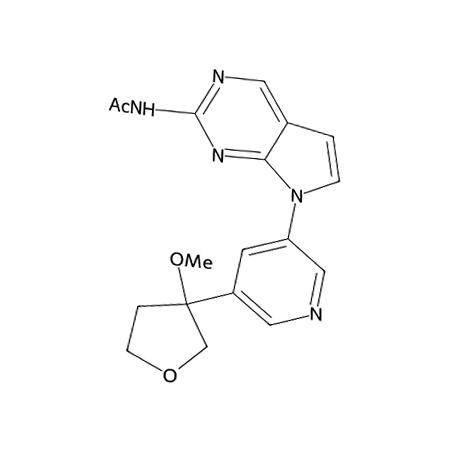 COC1(c2cncc(-n3ccc4cnc(NC(C)=O)nc43)c2)CCOC1